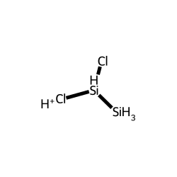 [H+].[SiH3][SiH](Cl)Cl